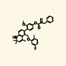 COc1cc(OC(=O)NCc2ccccc2)ccc1-c1ccc2c(c1COc1cc(F)ccc1C)C(C)=CC(C)(C)N2